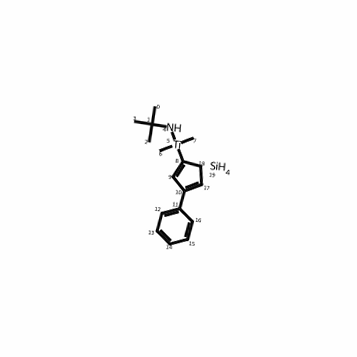 CC(C)(C)[NH][Ti]([CH3])([CH3])[C]1=CC(c2ccccc2)=CC1.[SiH4]